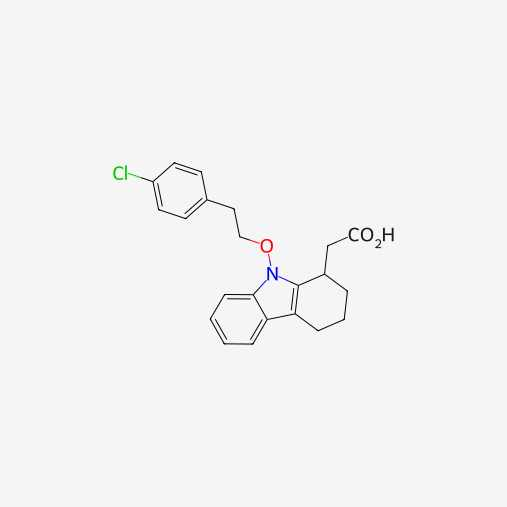 O=C(O)CC1CCCc2c1n(OCCc1ccc(Cl)cc1)c1ccccc21